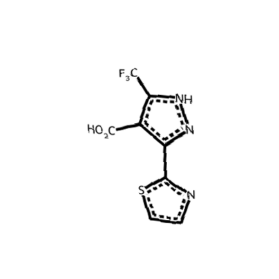 O=C(O)c1c(-c2nccs2)n[nH]c1C(F)(F)F